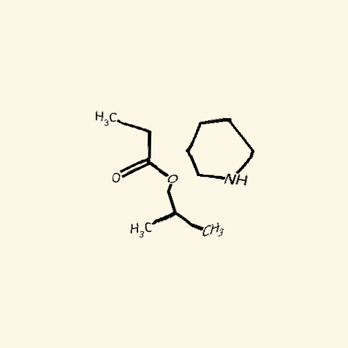 C1CCNCC1.CCC(=O)OC(C)C